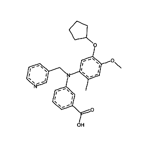 COc1cc(C)c(N(Cc2cccnc2)c2cccc(C(=O)O)c2)cc1OC1CCCC1